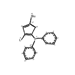 [Li][C]1=C(P(c2ccccc2)c2ccccc2)CC(C(C)(C)C)=C1